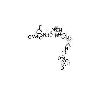 COc1ccc(F)cc1C(=O)NCc1ccc(-c2nn(-c3ccc(N4CC[C@H](CN5CCN(c6ccc7c(c6)CN([C@H]6CCC(=O)NC6=O)C7=O)CC5)C4)nc3)c3ncnc(N)c23)cc1